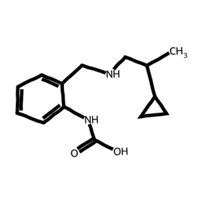 CC(CNCc1ccccc1NC(=O)O)C1CC1